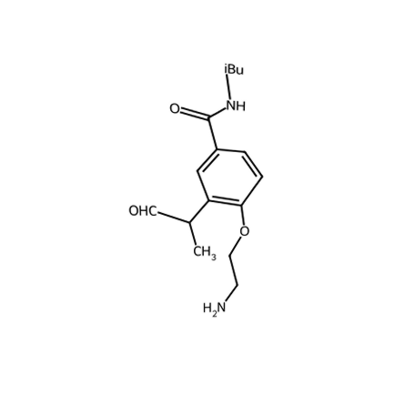 CCC(C)NC(=O)c1ccc(OCCN)c(C(C)C=O)c1